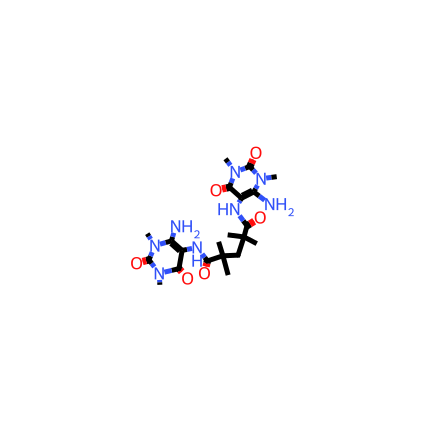 Cn1c(N)c(NC(=O)C(C)(C)CC(C)(C)C(=O)Nc2c(N)n(C)c(=O)n(C)c2=O)c(=O)n(C)c1=O